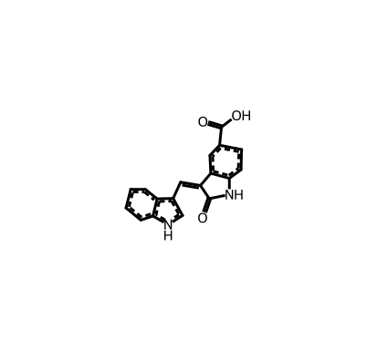 O=C1Nc2ccc(C(=O)O)cc2C1=Cc1c[nH]c2ccccc12